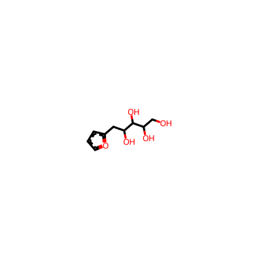 OCC(O)C(O)C(O)Cc1ccco1